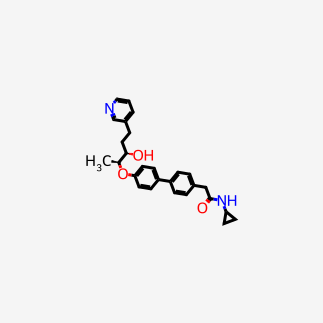 C[C@H](Oc1ccc(-c2ccc(CC(=O)NC3CC3)cc2)cc1)[C@H](O)CCc1cccnc1